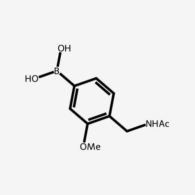 COc1cc(B(O)O)ccc1CNC(C)=O